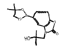 CC(C)(O)Cn1c(=O)oc2ccc(B3OCC(C)(C)O3)cc21